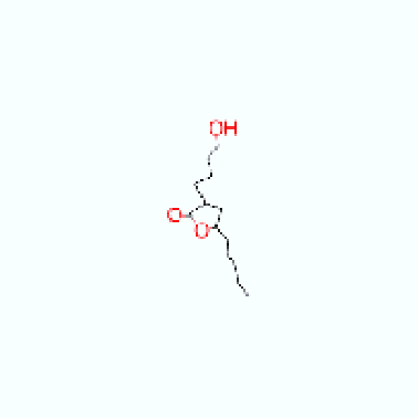 CCCCCC1CC(CCCCO)C(=O)O1